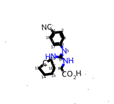 N#Cc1ccc(N=C(NCC(=O)O)NC2CCCCC2)cc1